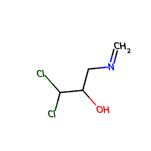 C=NCC(O)C(Cl)Cl